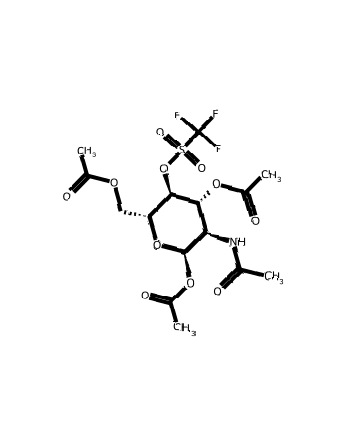 CC(=O)N[C@H]1[C@@H](OC(C)=O)O[C@H](COC(C)=O)[C@@H](OS(=O)(=O)C(F)(F)F)[C@@H]1OC(C)=O